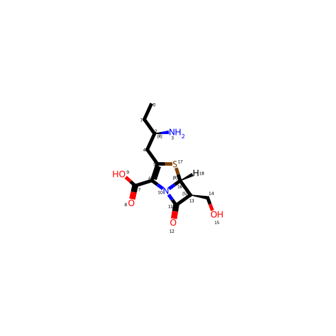 CC[C@@H](N)CC1=C(C(=O)O)N2C(=O)[C@H](CO)[C@H]2S1